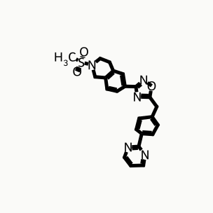 CS(=O)(=O)N1CCc2cc(-c3noc(Cc4ccc(-c5ncccn5)cc4)n3)ccc2C1